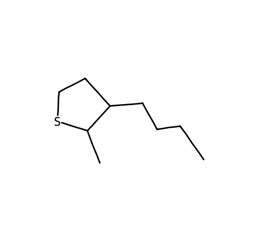 CCCCC1CCSC1C